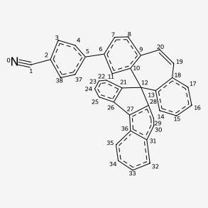 N#Cc1ccc(-c2ccc3c(c2)C2(c4ccccc4C=C3)c3ccccc3-c3c2ccc2ccccc32)cc1